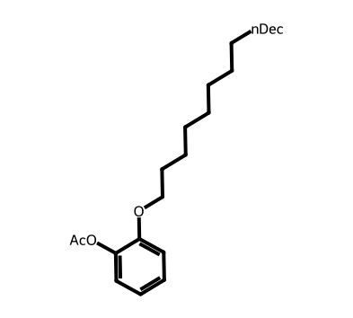 CCCCCCCCCCCCCCCCCCOc1ccccc1OC(C)=O